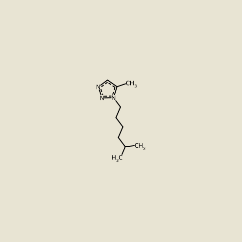 Cc1cnnn1CCCCC(C)C